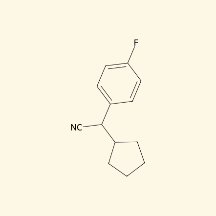 N#CC(c1ccc(F)cc1)C1CCCC1